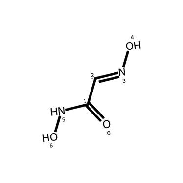 O=C([C]=NO)NO